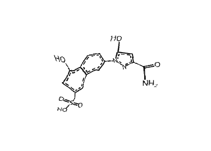 NC(=O)c1cc(O)n(-c2ccc3c(O)cc(S(=O)(=O)O)cc3c2)n1